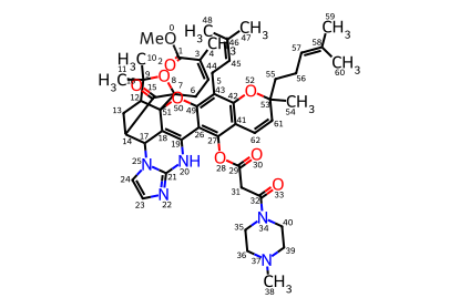 COC(=O)/C(C)=C\CC12OC(C)(C)C3CC(C1=O)C1C4=C(Nc5nccn51)c1c(OC(=O)CC(=O)N5CCN(C)CC5)c5c(c(CC=C(C)C)c1OC432)OC(C)(CCC=C(C)C)C=C5